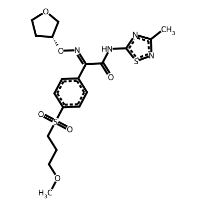 COCCCS(=O)(=O)c1ccc(/C(=N\O[C@@H]2CCOC2)C(=O)Nc2nc(C)ns2)cc1